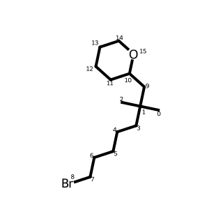 CC(C)(CCCCCBr)CC1CCCCO1